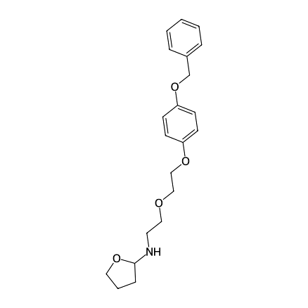 c1ccc(COc2ccc(OCCOCCNC3CCCO3)cc2)cc1